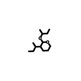 CCC(C)OC1OCCCC1C(C)CC